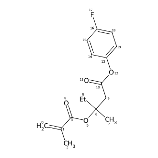 C=C(C)C(=O)OC(C)(CC)CC(=O)Oc1ccc(F)cc1